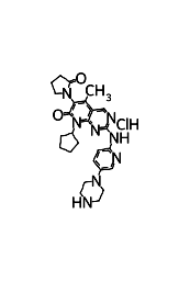 Cc1c(N2CCCC2=O)c(=O)n(C2CCCC2)c2nc(Nc3ccc(N4CCNCC4)cn3)ncc12.Cl